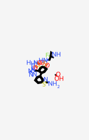 Nc1nc2c(-c3ccc(S(=O)(=O)NCC4(F)CNC4)c(S(N)(=O)=O)c3-c3nnn[nH]3)cccc2s1.O=CO